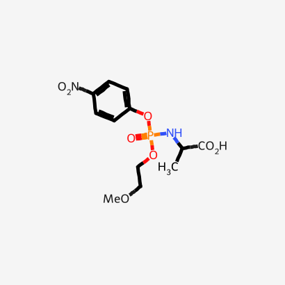 COCCOP(=O)(NC(C)C(=O)O)Oc1ccc([N+](=O)[O-])cc1